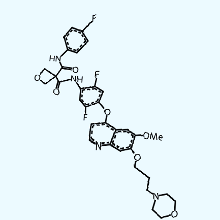 COc1cc2c(Oc3cc(F)c(NC(=O)C4(C(=O)Nc5ccc(F)cc5)COC4)cc3F)ccnc2cc1OCCCN1CCOCC1